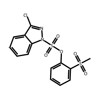 CS(=O)(=O)c1ccccc1OS(=O)(=O)n1nc(Cl)c2c[c]ccc21